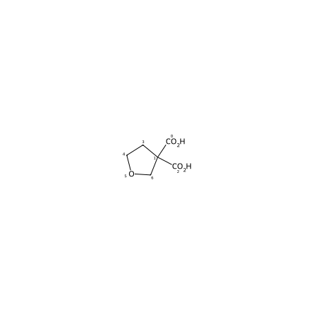 O=C(O)C1(C(=O)O)CCOC1